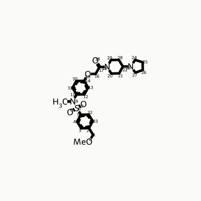 COCc1ccc(S(=O)(=O)N(C)c2ccc(OCC(=O)N3CCC(N4CCCC4)CC3)cc2)cc1